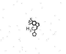 CC(/C=C1/C=Cc2cc3c(cc21)SCS3)C1CCCC1